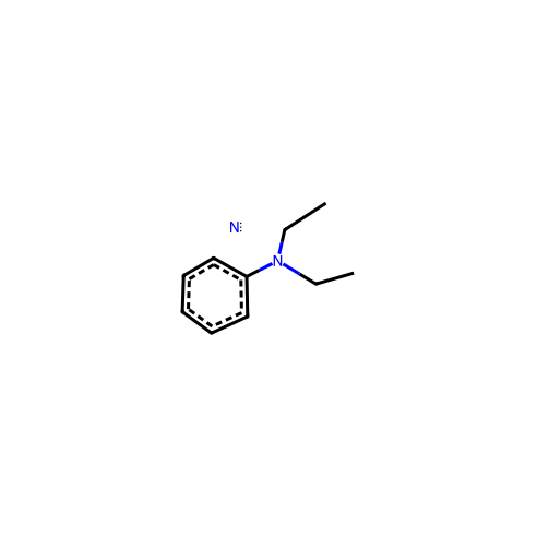 CCN(CC)c1ccccc1.[N]